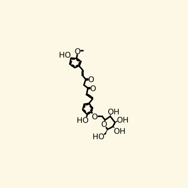 COc1cc(/C=C/C(=O)CC(=O)/C=C/c2ccc(O)c(OCC3O[C@H](CO)[C@@H](O)[C@H](O)[C@H]3O)c2)ccc1O